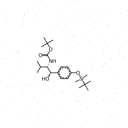 CC(C)[C@H](NC(=O)OC(C)(C)C)[C@H](O)c1ccc(O[Si](C)(C)C(C)(C)C)cc1